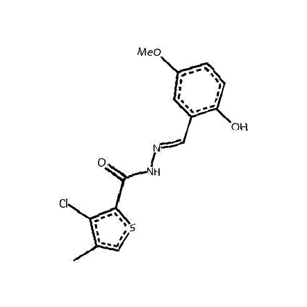 COc1ccc(O)c(C=NNC(=O)c2scc(C)c2Cl)c1